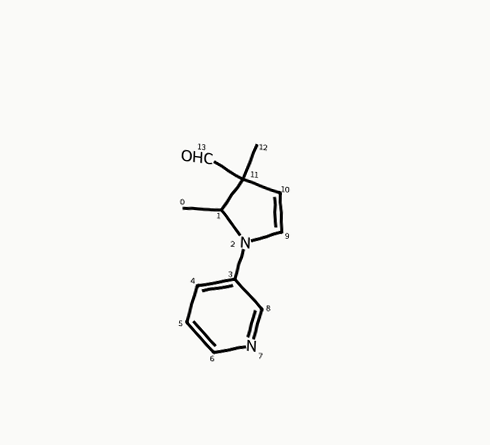 CC1N(c2cccnc2)C=CC1(C)C=O